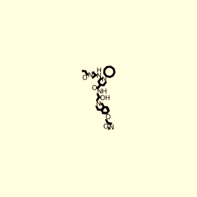 CCC(=O)N1CC(NC2CC(C(=O)NC[C@H](O)CN3CCc4cc(OCc5cnco5)ccc4C3)CCN2C2CCCCCCCC2)C1